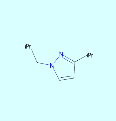 CC(C)Cn1ccc(C(C)C)n1